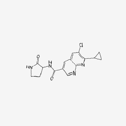 O=C(NC1CCNC1=O)c1cnc2nc(C3CC3)c(Cl)cc2c1